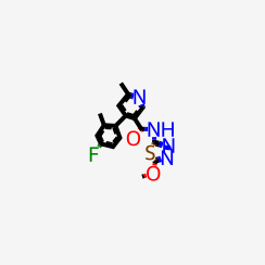 COc1nnc(NC(=O)c2cnc(C)cc2-c2ccc(F)cc2C)s1